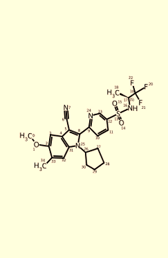 COc1cc2c(C#N)c(-c3ccc(S(=O)(=O)N[C@@H](C)C(F)(F)F)cn3)n(C3CCCC3)c2cc1C